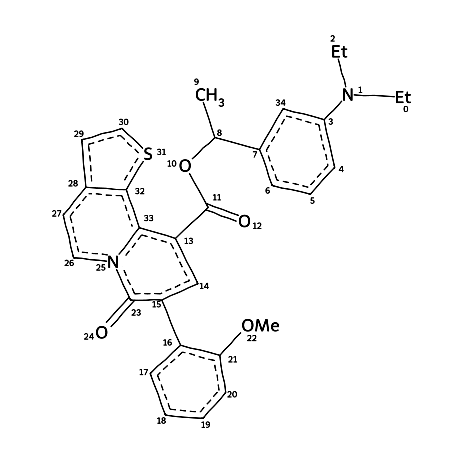 CCN(CC)c1cccc(C(C)OC(=O)c2cc(-c3ccccc3OC)c(=O)n3ccc4ccsc4c23)c1